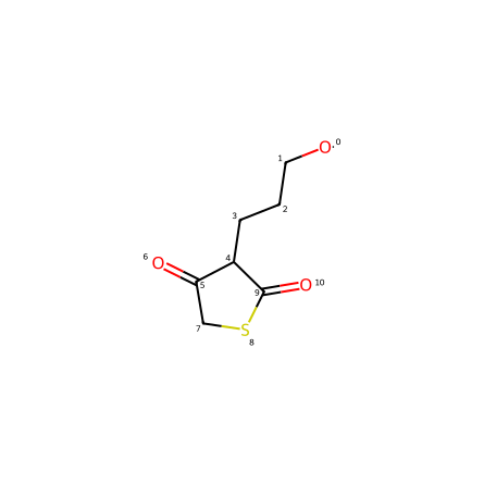 [O]CCCC1C(=O)CSC1=O